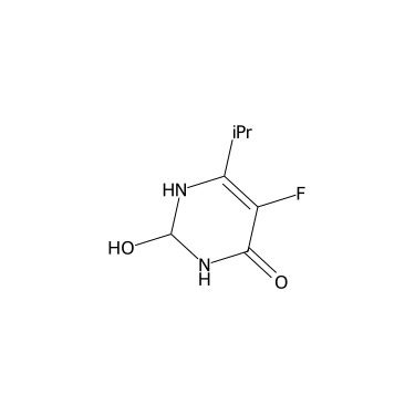 CC(C)C1=C(F)C(=O)NC(O)N1